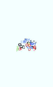 C[C@@H](NC(=O)[C@@H]1CC2(CN1C(=O)CNC(=O)c1ccc3c(c1)-c1ccccc1C3OC(F)F)OCCO2)c1cc(C(=N)N)cs1